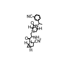 CC(c1cccc(C#N)c1)N1C(=O)[C@@H]2C[C@H]1CN2CC(N)C(=O)N1C(C#N)C[C@@H]2C[C@@H]21